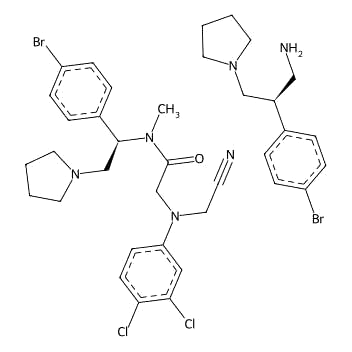 CN(C(=O)CN(CC#N)c1ccc(Cl)c(Cl)c1)[C@@H](CN1CCCC1)c1ccc(Br)cc1.NC[C@H](CN1CCCC1)c1ccc(Br)cc1